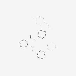 CC(CC1CCN(C)CC1)c1ccc(NC(=O)c2cccnc2NCc2ccnc(N3CCOCC3)c2)cc1